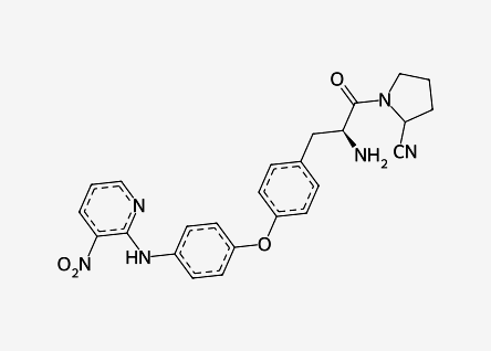 N#CC1CCCN1C(=O)[C@@H](N)Cc1ccc(Oc2ccc(Nc3ncccc3[N+](=O)[O-])cc2)cc1